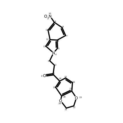 O=C(CCn1cc2ccc([N+](=O)[O-])cc2c1)c1ccc2c(c1)OCCO2